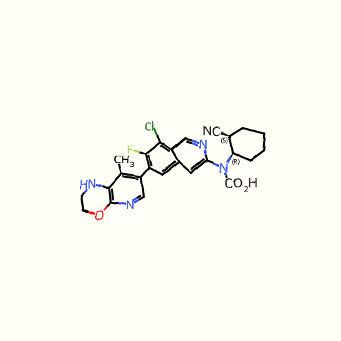 Cc1c(-c2cc3cc(N(C(=O)O)[C@@H]4CCCC[C@@H]4C#N)ncc3c(Cl)c2F)cnc2c1NCCO2